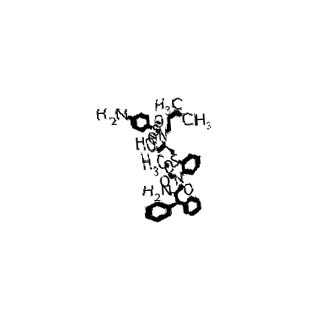 COC(=O)N(C(=O)[C@@H](N)C(c1ccccc1)c1ccccc1)c1ccccc1SC[C@@H](CO)N(CCC(C)C)S(=O)(=O)c1ccc(N)cc1